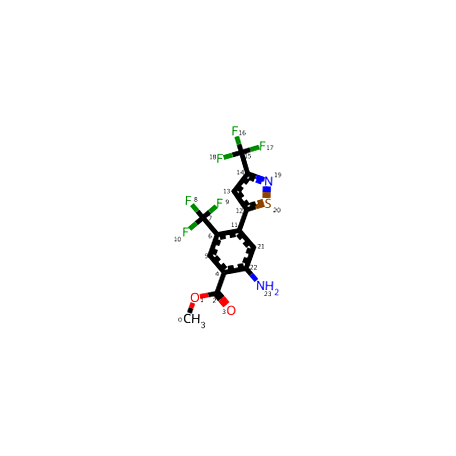 COC(=O)c1cc(C(F)(F)F)c(-c2cc(C(F)(F)F)ns2)cc1N